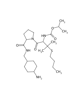 CCCCSC(C)(C)C(NC(=O)OC(C)C)C(=O)N1CCCC1C(=O)NCC1CCC(N)CC1